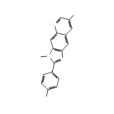 CCn1c(-c2ccc(Cl)cc2)nc2cc3cc(Cl)cnc3cc21